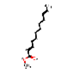 CC=CCCCCCCC=CC(=O)OC